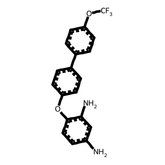 Nc1ccc(Oc2ccc(-c3ccc(OC(F)(F)F)cc3)cc2)c(N)c1